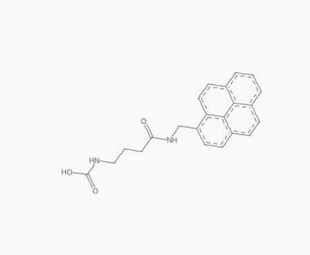 O=C(O)NCCCC(=O)NCc1ccc2ccc3cccc4ccc1c2c34